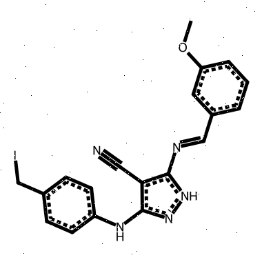 COc1cccc(/C=N/c2[nH]nc(Nc3ccc(CI)cc3)c2C#N)c1